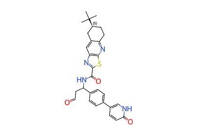 CC(C)(C)[C@H]1CCc2nc3sc(C(=O)NC(CC=O)c4ccc(-c5ccc(=O)[nH]c5)cc4)nc3cc2C1